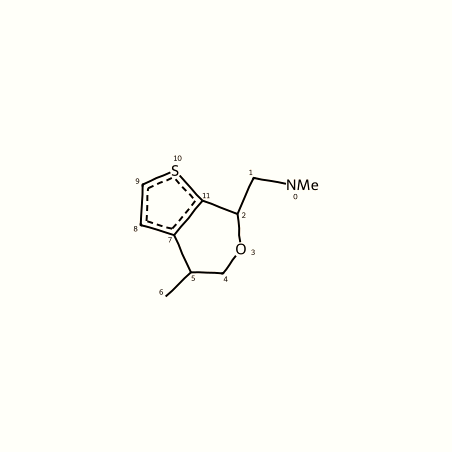 CNCC1OCC(C)c2ccsc21